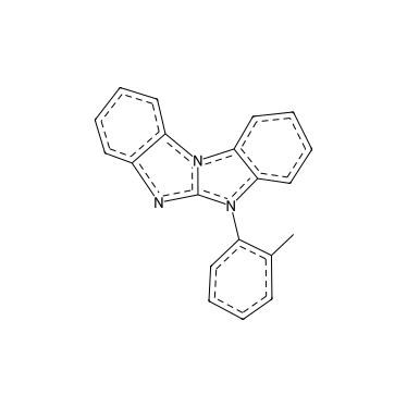 Cc1ccccc1-n1c2ccccc2n2c3ccccc3nc12